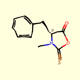 CN1C(=S)OC(=O)[C@@H]1Cc1ccccc1